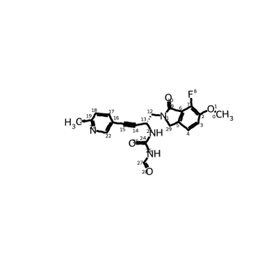 COc1ccc2c(c1F)C(=O)N(C[C@@H](C#Cc1ccc(C)nc1)NC(=O)NC=O)C2